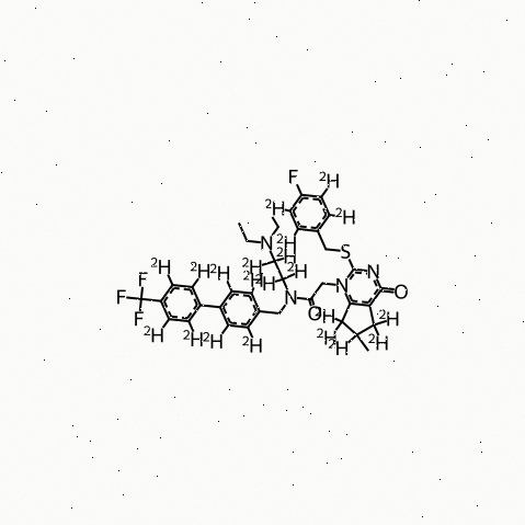 [2H]c1c([2H])c(CSc2nc(=O)c3c(n2CC(=O)N(Cc2c([2H])c([2H])c(-c4c([2H])c([2H])c(C(F)(F)F)c([2H])c4[2H])c([2H])c2[2H])C([2H])([2H])C([2H])([2H])N(CC)CC)C([2H])([2H])C([2H])(C)C3([2H])[2H])c([2H])c([2H])c1F